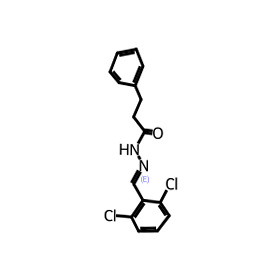 O=C(CCc1ccccc1)N/N=C/c1c(Cl)cccc1Cl